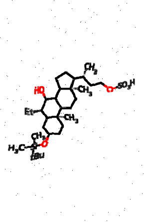 CC[C@@H]1C2C[C@H](O[Si](C)(C)C(C)(C)C)CC[C@]2(C)C2CC[C@@]3(C)C(CCC3[C@H](C)CCOS(=O)(=O)O)C2[C@@H]1O